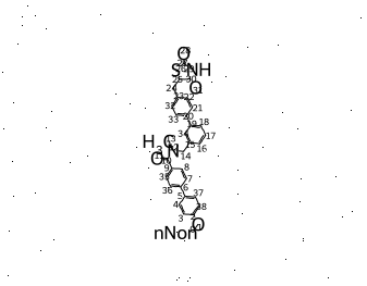 CCCCCCCCCOc1ccc(-c2ccc(C(=O)N(C)Cc3cccc(-c4ccc(CC5SC(=O)NC5=O)cc4)c3)cc2)cc1